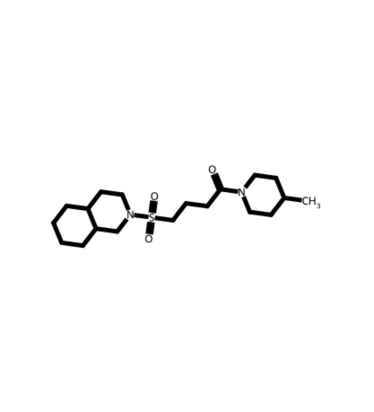 CC1CCN(C(=O)CCCS(=O)(=O)N2CCC3CCCCC3C2)CC1